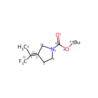 C/C(=C1/CCN(C(=O)OC(C)(C)C)C1)C(F)(F)F